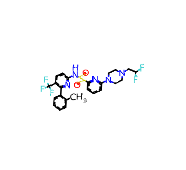 Cc1ccccc1-c1nc(NS(=O)(=O)c2cccc(N3CCN(CC(F)F)CC3)n2)ccc1C(F)(F)F